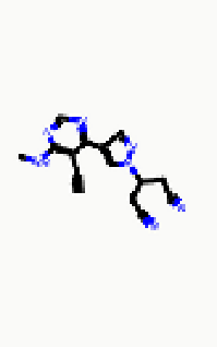 C#Cc1c(NC)ncnc1-c1cnn(C(CC#N)CC#N)c1